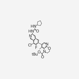 Cc1c(-c2cc3cc(NC(=O)NC4CCCC4)ncc3c(Cl)c2F)cnc2c1N(C(=O)OC(C)(C)C)CCO2